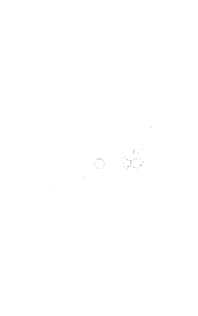 CCCCCCCCCCCCCCCC(=O)OCc1ccccc1C(=O)OC[C@@]1(C)O[C@@H](n2cnc3c(NC(=O)CCCSC(C)=O)nc(F)nc32)C[C@@H]1O